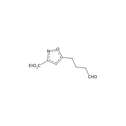 CCOC(=O)c1cc(CCCC=O)on1